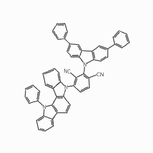 N#Cc1ccc(-n2c3ccccc3c3c2ccc2c4ccccc4n(-c4ccccc4)c23)c(C#N)c1-n1c2ccc(-c3ccccc3)cc2c2cc(-c3ccccc3)ccc21